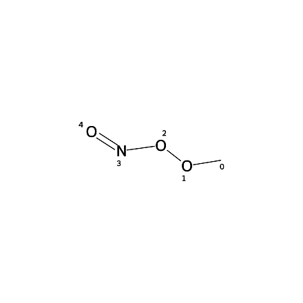 COON=O